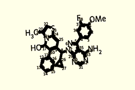 COc1ccc(-c2nn(C(C3=C(c4ccccc4)C(O)N4C(C)=CSC4=C3)C3CC3)c3ncnc(N)c23)cc1F